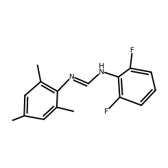 Cc1cc(C)c(N=CNc2c(F)cccc2F)c(C)c1